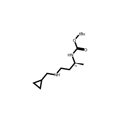 C[C@@H](CCNCC1CC1)NC(=O)OC(C)(C)C